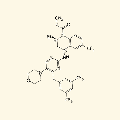 C=CC(=O)N1c2ccc(C(F)(F)F)cc2[C@@H](Nc2ncc(N3CCOCC3)c(Cc3cc(C(F)(F)F)cc(C(F)(F)F)c3)n2)C[C@H]1CC